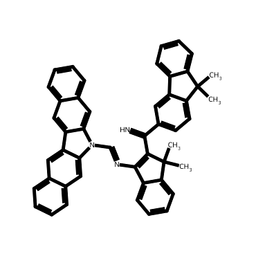 CC1(C)C(C(=N)c2ccc3c(c2)-c2ccccc2C3(C)C)=C(/N=C/n2c3cc4ccccc4cc3c3cc4ccccc4cc32)c2ccccc21